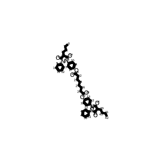 CCCCC1C(=O)N(c2ccccc2)N(c2ccc(OC(=O)CCCCCCC(=O)Oc3ccc(N4C(=O)C(CCCC)C(=O)N4c4ccccc4)cc3)cc2)C1=O